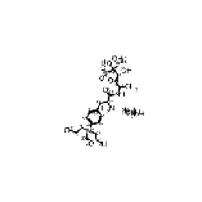 CC(CCC(O)(P(=O)(O)O)P(=O)(O)O)NC(=O)[C@@H](N)Cc1ccc([N+](C=O)(CCCl)CCCl)cc1.[NaH].[NaH].[NaH]